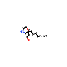 CCCCCCCCCCCCC1(CCO)CNCCO1